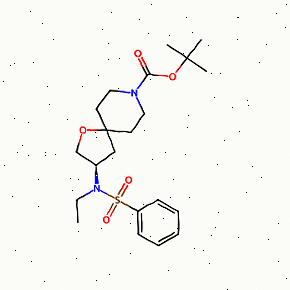 CCN([C@H]1COC2(CCN(C(=O)OC(C)(C)C)CC2)C1)S(=O)(=O)c1ccccc1